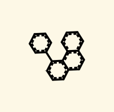 [c]1ccc2ccc3ccccc3c2c1-c1ccccc1